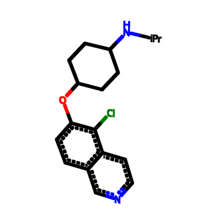 CC(C)NC1CCC(Oc2ccc3cnccc3c2Cl)CC1